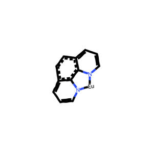 C1=C[N]2[Eu][N]3C=CC=c4ccc(c2c43)=C1